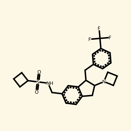 O=S(=O)(NCc1ccc2c(c1)C(Cc1cccc(C(F)(F)F)c1)C(N1CCC1)C2)C1CCC1